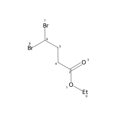 CCOC(=O)CCC(Br)Br